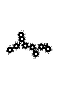 c1ccc(-c2ccc(-n3c4ccc(-c5ccc6c(c5)c5ccccc5n6-c5ccc6oc7ccccc7c6c5)cc4c4cc5ccccc5cc43)cc2)cc1